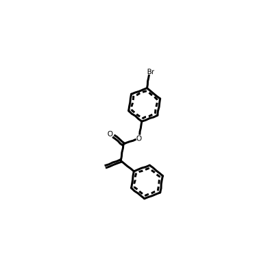 C=C(C(=O)Oc1ccc(Br)cc1)c1ccccc1